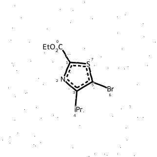 CCOC(=O)c1nc(C(C)C)c(Br)s1